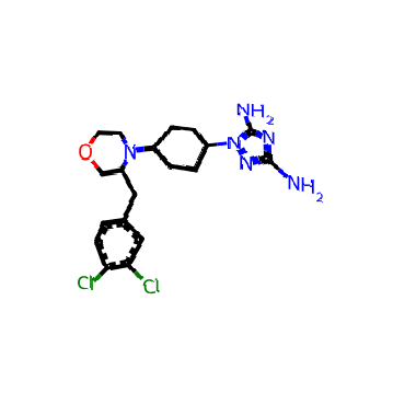 Nc1nc(N)n(C2CCC(N3CCOCC3Cc3ccc(Cl)c(Cl)c3)CC2)n1